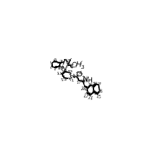 Cc1nc2ccccc2n1C1CCCN(C(=O)CC(N)Cc2ccc3ccccc3c2)C1